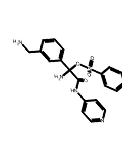 NCc1cccc(C(N)(OS(=O)(=O)c2ccccc2)C(=O)Nc2ccncc2)c1